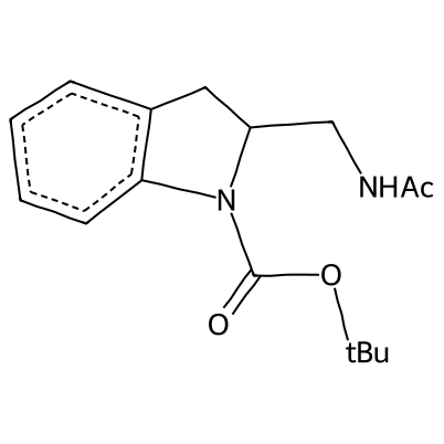 CC(=O)NCC1Cc2ccccc2N1C(=O)OC(C)(C)C